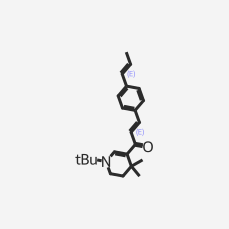 C/C=C/c1ccc(/C=C/C(=O)C2=CN(C(C)(C)C)CCC2(C)C)cc1